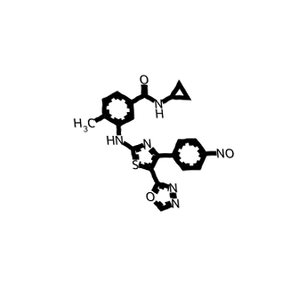 Cc1ccc(C(=O)NC2CC2)cc1Nc1nc(-c2ccc(N=O)cc2)c(-c2nnco2)s1